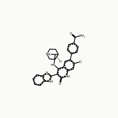 NC(=O)c1ccc(-c2cc3c(N[C@H]4CN5CCC4CC5)c(-c4nc5ccccc5[nH]4)c(=O)[nH]c3cc2Cl)cc1